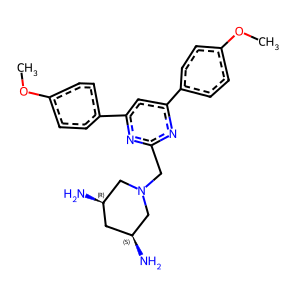 COc1ccc(-c2cc(-c3ccc(OC)cc3)nc(CN3C[C@H](N)C[C@H](N)C3)n2)cc1